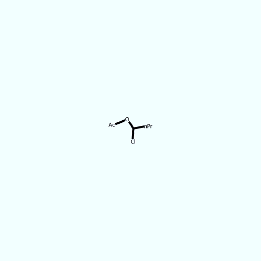 CCCC(Cl)OC(C)=O